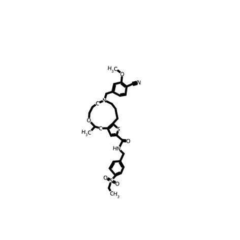 CCS(=O)(=O)c1ccc(CNC(=O)c2cc3c(s2)CCCN(Cc2ccc(C#N)c(OC)c2)CCCOC(C)C3)cc1